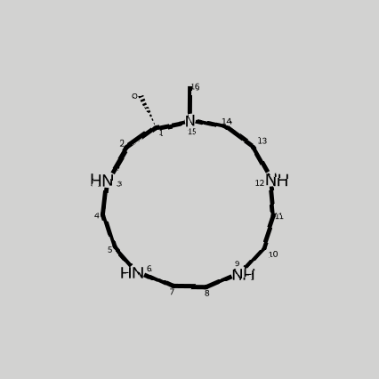 C[C@H]1CNCCNCCNCCNCCN1C